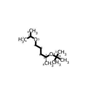 CC(C)OCCC[C@@H](C)OC(C)(C)C